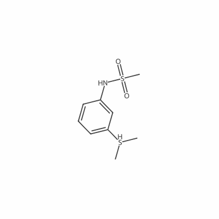 C[SH](C)c1cccc(NS(C)(=O)=O)c1